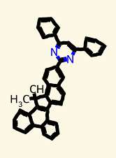 CC1(C)c2c(ccc3cc(-c4nc(-c5ccccc5)cc(-c5ccccc5)n4)ccc23)-c2c1c1ccccc1c1ccccc21